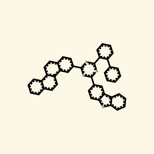 c1ccc(-c2ccccc2-c2nc(-c3ccc4ccc5c6ccccc6ccc5c4c3)nc(-c3ccc4sc5ccccc5c4c3)n2)cc1